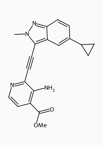 COC(=O)c1ccnc(C#Cc2c3cc(C4CC4)ccc3nn2C)c1N